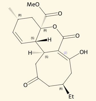 CC[C@H]1CC(=O)C[C@@H]2/C(=C(/O)C1)C(=O)O[C@]1(C(=O)OC)C[C@@H](C)C=C[C@@H]21